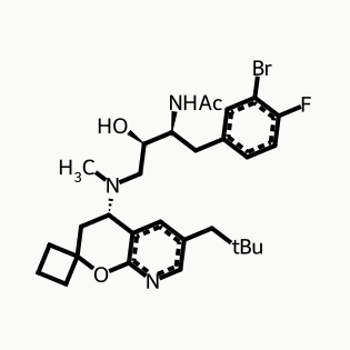 CC(=O)N[C@@H](Cc1ccc(F)c(Br)c1)[C@H](O)CN(C)[C@H]1CC2(CCC2)Oc2ncc(CC(C)(C)C)cc21